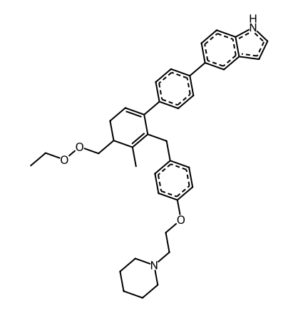 CCOOCC1CC=C(c2ccc(-c3ccc4[nH]ccc4c3)cc2)C(Cc2ccc(OCCN3CCCCC3)cc2)=C1C